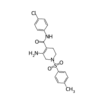 Cc1ccc(S(=O)(=O)N2CCC(C(=O)Nc3ccc(Cl)cc3)=C(N)C2)cc1